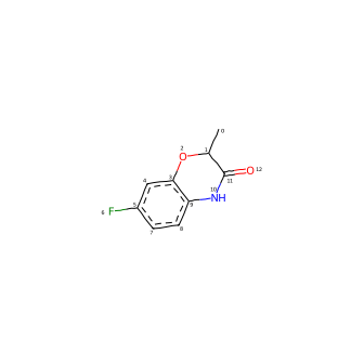 CC1Oc2cc(F)ccc2NC1=O